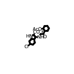 CC(=O)Oc1ccccc1C(=O)CNc1c(C(=O)O)[nH]c2cc(Cl)ccc12